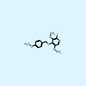 COc1ccc(COc2c(OC)cnc(I)c2OC)cc1